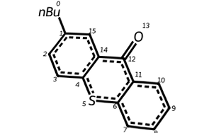 CCCCc1ccc2sc3ccccc3c(=O)c2c1